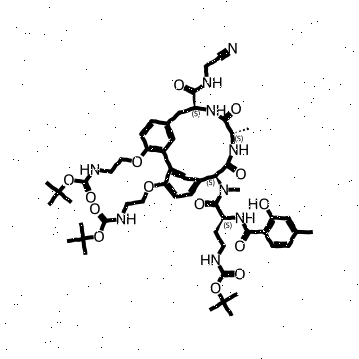 Cc1ccc(C(=O)N[C@@H](CCNC(=O)OC(C)(C)C)C(=O)N(C)[C@@H]2C(=O)N[C@@H](C)C(=O)N[C@H](C(=O)NCC#N)Cc3ccc(OCCNC(=O)OC(C)(C)C)c(c3)-c3cc2ccc3OCCNC(=O)OC(C)(C)C)c(O)c1